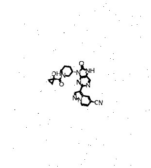 N#Cc1ccn2ncc(-c3ncc4[nH]c(=O)n([C@H]5CCCN(C(=O)C6(O)CC6)C5)c4n3)c2c1